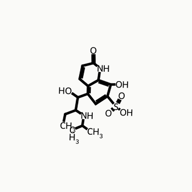 CCC(NC(C)C)C(O)c1cc(S(=O)(=O)O)c(O)c2[nH]c(=O)ccc12